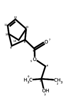 CC(C)(O)COC(=O)C1CC2C=CC1C2